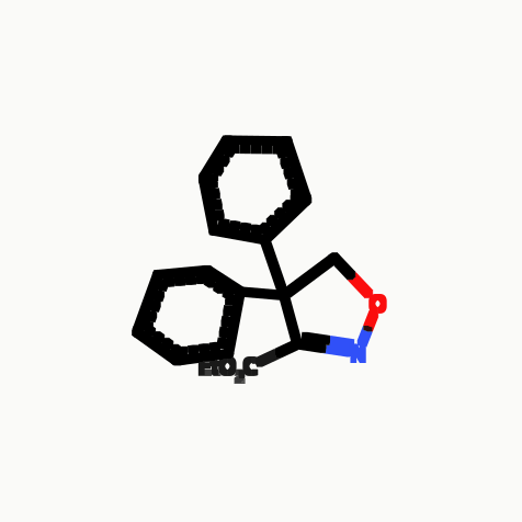 CCOC(=O)C1=NOCC1(c1ccccc1)c1ccccc1